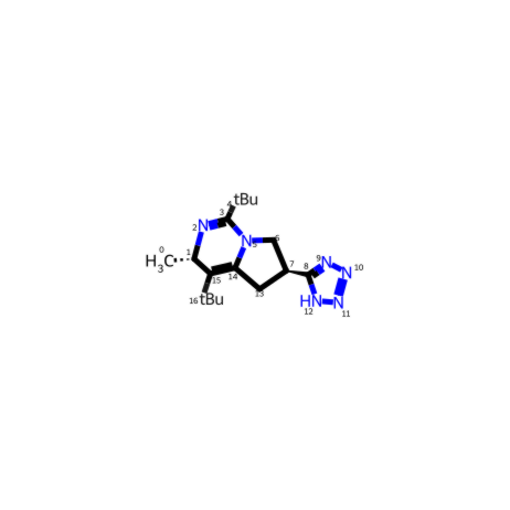 C[C@@H]1N=C(C(C)(C)C)N2C[C@@H](c3nnn[nH]3)CC2=C1C(C)(C)C